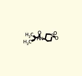 C=CC(=C)C(=O)NC1CCS(=O)(=O)CC1